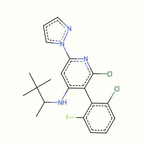 CC(Nc1cc(-n2cccn2)nc(Cl)c1-c1c(F)cccc1Cl)C(C)(C)C